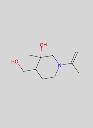 C=C(C)N1CCC(CO)C(C)(O)C1